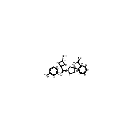 O=C1OC2(CCN(C(=O)[C@]3(c4ccc(Cl)cc4)C[C@H](F)C3)C2)c2ccccc21